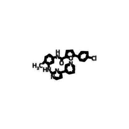 Cc1ccc(NC(=O)c2ccc(-c3ccc(Cl)cc3)o2)cc1Nc1nccc(-c2cccnc2)n1